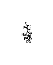 O=S(=O)([O-])C(F)C(F)(F)C(F)C(F)C(F)C(F)C(F)F.[Na+]